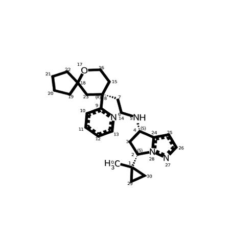 CC1([C@@H]2C[C@H](NCC[C@@]3(c4ccccn4)CCOC4(CCCC4)C3)c3ccnn32)CC1